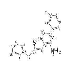 Cc1cccc(-c2nc(N)c3cc(Cc4ccccc4)sc3n2)c1